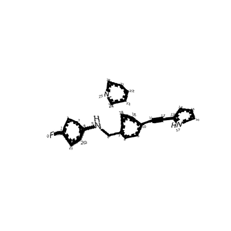 Fc1ccc(NCc2ccc(C#Cc3ccc[nH]3)cc2)cc1.c1ccncc1